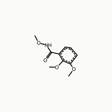 CONC(=O)c1cccc(OC)c1OC